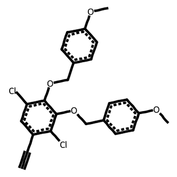 C#Cc1cc(Cl)c(OCc2ccc(OC)cc2)c(OCc2ccc(OC)cc2)c1Cl